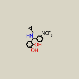 Oc1cccc(C(NCC2CC2)c2cccc(NC(F)(F)F)c2)c1O